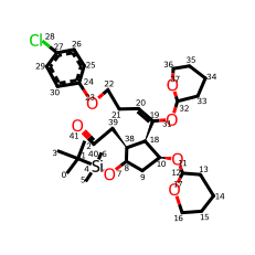 CC(C)(C)[Si](C)(C)OC1C[C@H](OC2CCCCO2)[C@H](/C(=C\CCOc2ccc(Cl)cc2)OC2CCCCO2)[C@@H]1CC=O